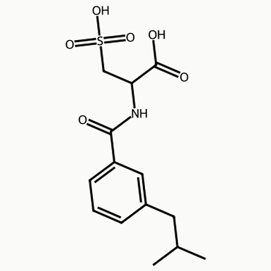 CC(C)Cc1cccc(C(=O)NC(CS(=O)(=O)O)C(=O)O)c1